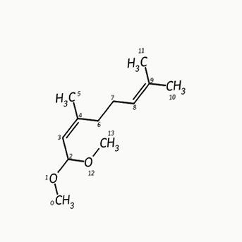 COC(C=C(C)CCC=C(C)C)OC